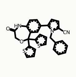 N#Cc1ccc(-c2ccc3c(c2)C(c2cccs2)(c2cccs2)OCC(=O)N3)n1Cc1ccccc1